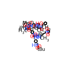 CC[C@H](C)[C@@H]([C@@H](CC(=O)N1CCC[C@H]1[C@H](OC)[C@@H](C)C(=O)N[C@H](C)[C@@H](O)c1ccccc1)OC)N(C)C(=O)[C@@H](NC(=O)[C@H](C(C)C)N(C)C(=O)OCc1ccc(NC(=O)[C@H](C[C@H]2CC[C@H](CNC(=O)OC(C)(C)C)CC2)NC(=O)[C@@H](N[C@@H](C)CCCCCN2C(=O)C=CC2=O)C(C)C)cc1)C(C)C